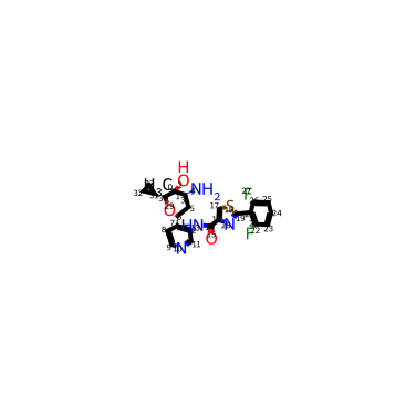 C[C@]1(O)[C@H](N)C[C@H](c2ccncc2NC(=O)c2csc(-c3c(F)cccc3F)n2)O[C@@H]1C1CC1